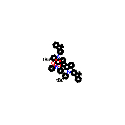 CC(C)(C)c1ccc(N(c2ccc3c(c2)-c2ccccc2C3(C)C)c2ccc3c(c2)C(O)(c2ccccc2N2c4ccccc4Oc4ccccc42)c2cc(N(c4ccc(C(C)(C)C)cc4)c4ccc5c(c4)-c4ccccc4C5(C)C)c4ccccc4c2-3)cc1